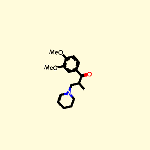 COc1ccc(C(=O)C(C)CN2CCCCC2)cc1OC